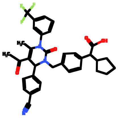 CC(=O)C1=C(C)N(c2cccc(C(F)(F)F)c2)C(=O)N(Cc2ccc(C(C(=O)O)C3CCCC3)cc2)C1c1ccc(C#N)cc1